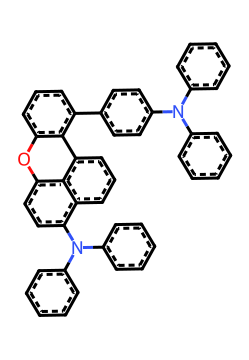 c1ccc(N(c2ccccc2)c2ccc(-c3cccc4c3-c3cccc5c(N(c6ccccc6)c6ccccc6)ccc(c35)O4)cc2)cc1